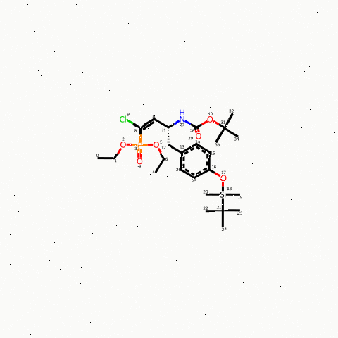 CCOP(=O)(OCC)/C(Cl)=C\[C@@H](Cc1ccc(O[Si](C)(C)C(C)(C)C)cc1)NC(=O)OC(C)(C)C